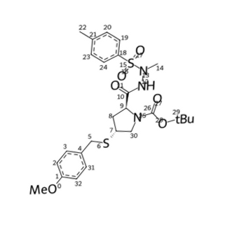 COc1ccc(CS[C@@H]2C[C@@H](C(=O)NN(C)S(=O)(=O)c3ccc(C)cc3)N(C(=O)OC(C)(C)C)C2)cc1